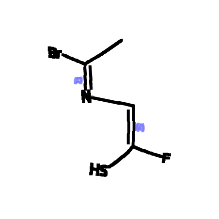 C/C(Br)=N\C=C(\F)S